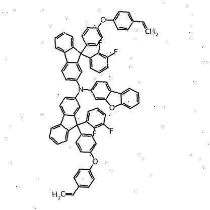 C=Cc1ccc(Oc2ccc(C3(c4cccc(F)c4F)c4ccccc4-c4ccc(N(c5ccc6c(c5)C(c5ccc(Oc7ccc(C=C)cc7)cc5)(c5cccc(F)c5F)c5ccccc5-6)c5ccc6c(c5)oc5ccccc56)cc43)cc2)cc1